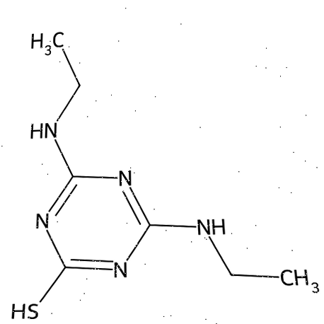 CCNc1nc(S)nc(NCC)n1